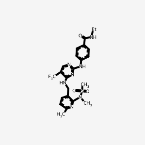 CCNC(=O)c1ccc(Nc2ncc(C(F)(F)F)c(NCc3ccc(C)nc3N(C)S(C)(=O)=O)n2)cc1